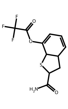 NC(=O)C1CC2C=CC=C(OC(=O)C(F)(F)F)C2S1